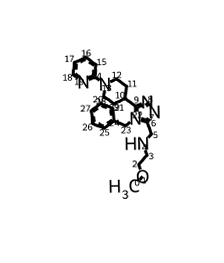 COCCNCc1nnc(C2CCN(c3ccccn3)CC2)n1Cc1ccccc1